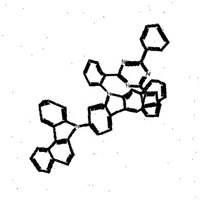 c1ccc(-c2nc(-c3ccccc3)nc(-c3ccccc3-n3c4cc(-n5c6ccccc6c6c7ccccc7ccc65)ccc4c4cc5ccccc5cc43)n2)cc1